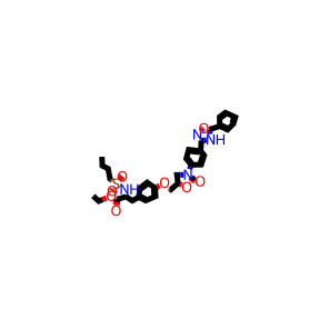 CCCCS(=O)(=O)NC(Cc1ccc(OCC2CN(c3ccc(C4=NOC(c5ccccc5)N4)cc3)C(=O)O2)cc1)C(=O)OCC